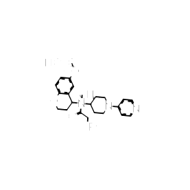 CC(C)CC(=O)[N+](C)(C1CCN(c2ccncc2)CC1)C1CCOc2ccc(OC(=O)O)cc21